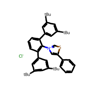 CC(C)(C)c1cc(-c2cccc(-c3cc(C(C)(C)C)cc(C(C)(C)C)c3)c2-[n+]2csc(-c3ccccc3)c2)cc(C(C)(C)C)c1.[Cl-]